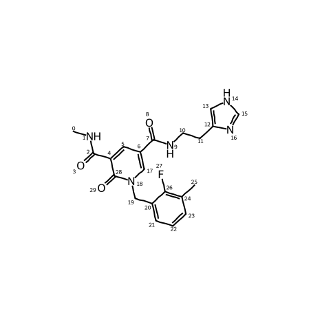 CNC(=O)c1cc(C(=O)NCCc2c[nH]cn2)cn(Cc2cccc(C)c2F)c1=O